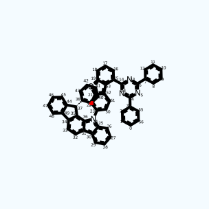 c1ccc(-c2nc(-c3ccccc3)nc(-c3cccc4oc5cc(-n6c7ccccc7c7ccc8c(c76)[C@@H](c6ccccc6)c6ccccc6-8)ccc5c34)n2)cc1